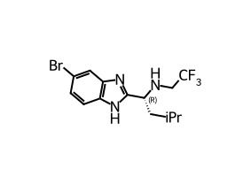 CC(C)C[C@@H](NCC(F)(F)F)c1nc2cc(Br)ccc2[nH]1